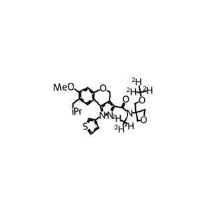 [2H]C([2H])([2H])OCC1(N(C(=O)c2nn(-c3ccsc3)c3c2COc2cc(OC)c(CC(C)C)cc2-3)C([2H])([2H])[2H])COC1